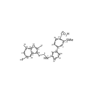 CSc1cc(-c2cc(NCCc3c(C)oc4c(C)cc(F)cc34)ncn2)ccc1C(=O)O